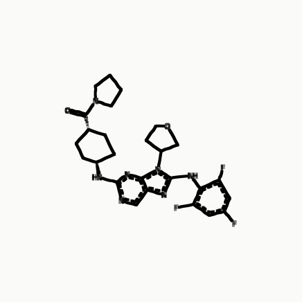 O=C([C@H]1CC[C@H](Nc2ncc3nc(Nc4c(F)cc(F)cc4F)n(C4CCOC4)c3n2)CC1)N1CCCC1